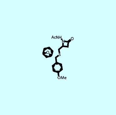 COc1ccc(CSCC2CC(=O)N2NC(C)=O)cc1.c1cc2cc(c1)O2